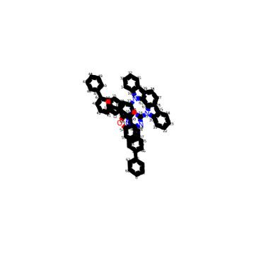 c1ccc(-c2ccc(-c3nc(-c4ccccc4)nc(-n4c5ccccc5c5ccc6c7ccccc7n(-c7cc(-c8cccc(-c9ccccc9)c8)c8oc9ccccc9c8c7)c6c54)n3)cc2)cc1